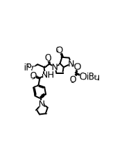 CC(C)COC(=O)ON1CC(=O)C2C1CCN2C(=O)C(CC(C)C)NC(=O)c1ccc(N2CCCC2)cc1